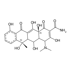 CN(C)C1C(O)=C(C(N)=O)C(=O)[C@@]2(O)C(O)=C3C(=O)c4c(O)cccc4[C@@](C)(O)C3C(O)C12